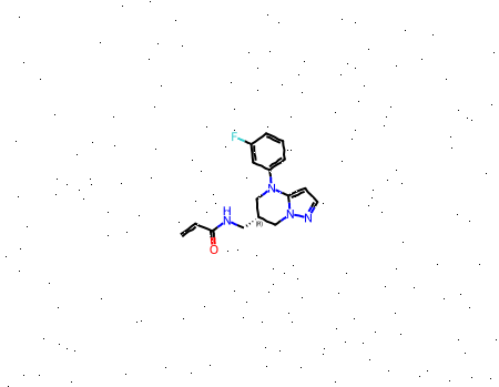 C=CC(=O)NC[C@@H]1CN(c2cccc(F)c2)c2ccnn2C1